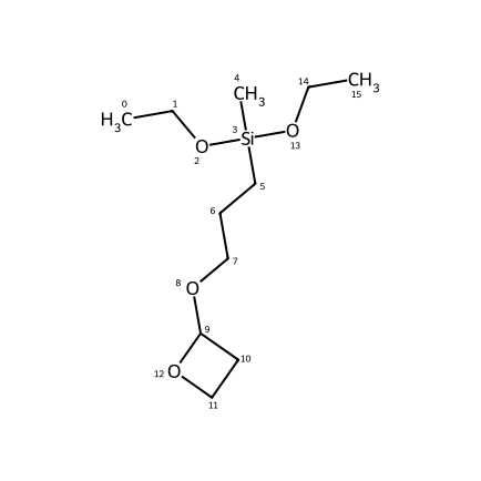 CCO[Si](C)(CCCOC1CCO1)OCC